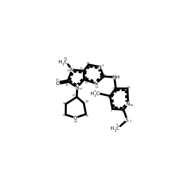 CSc1cc(C)c(Nc2ncc3c(n2)n(C2CCOCC2)c(=O)n3C)cn1